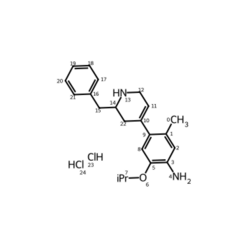 Cc1cc(N)c(OC(C)C)cc1C1=CCNC(Cc2ccccc2)C1.Cl.Cl